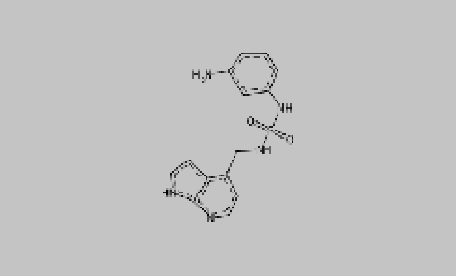 Nc1cccc(NS(=O)(=O)NCc2ccnc3[nH]ccc23)c1